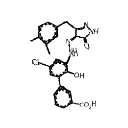 Cc1ccc(CC2=NNC(=O)C2=NNc2cc(Cl)cc(-c3cccc(C(=O)O)c3)c2O)cc1C